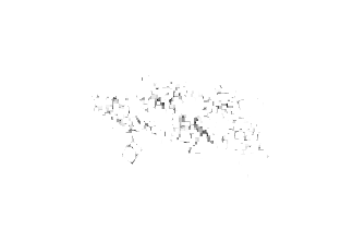 CO[Si](CC[Si](C)(O[Si](C)(C)C)O[Si](C)(O[Si](C)(C)O[Si](C)(C)O[Si](C)(C)O[Si](C)(C)O[Si](C)(C)O[Si](C)(C)O[Si](C)(C)O[Si](C)(C)O[Si](C)(C)O[Si](C)(C)O[Si](C)(C)O[Si](C)(C)O[Si](C)(C)O[Si](C)(C)O[Si](C)(C)O[Si](C)(C)C)C1CC2CCC1C2)(OC)OC